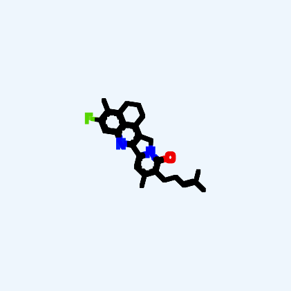 CC(C)=CCCc1c(C)cc2n(c1=O)Cc1c-2nc2cc(F)c(C)c3c2c1CCC3